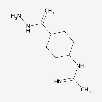 C=C(NN)C1CCC(NC(C)=N)CC1